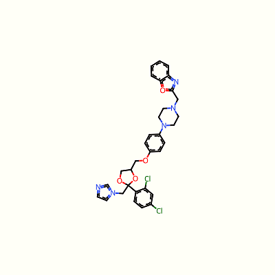 Clc1ccc(C2(Cn3ccnc3)OCC(COc3ccc(N4CCN(Cc5nc6ccccc6o5)CC4)cc3)O2)c(Cl)c1